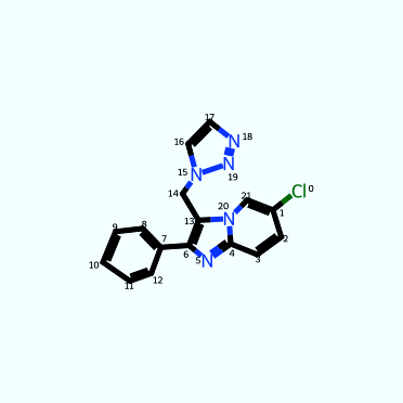 Clc1ccc2nc(-c3ccccc3)c(Cn3ccnn3)n2c1